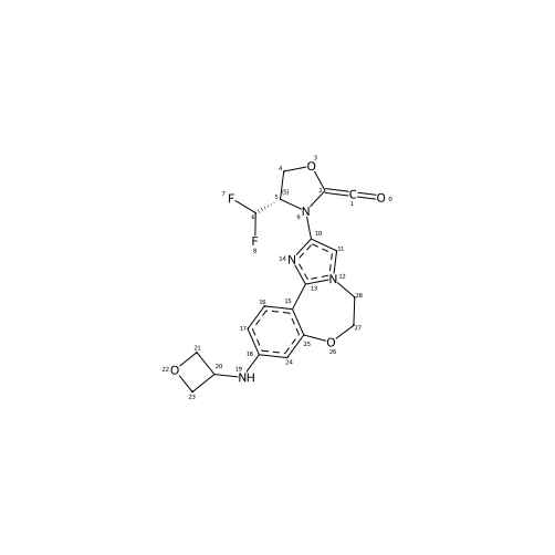 O=C=C1OC[C@@H](C(F)F)N1c1cn2c(n1)-c1ccc(NC3COC3)cc1OCC2